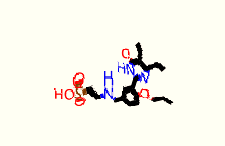 CCCOc1ccc(CNCCS(=O)(=O)O)cc1-c1nc(CC)c(CC)c(=O)[nH]1